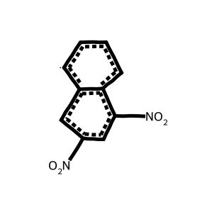 O=[N+]([O-])c1cc([N+](=O)[O-])c2ccc[c]c2c1